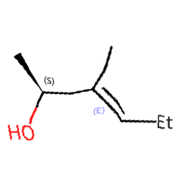 CC/C=C(\C)[C@H](C)O